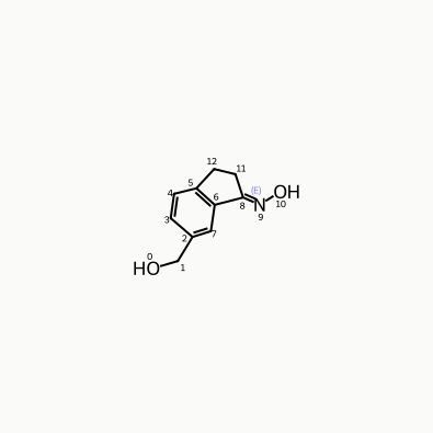 OCc1ccc2c(c1)/C(=N/O)CC2